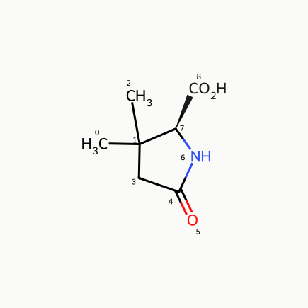 CC1(C)CC(=O)N[C@@H]1C(=O)O